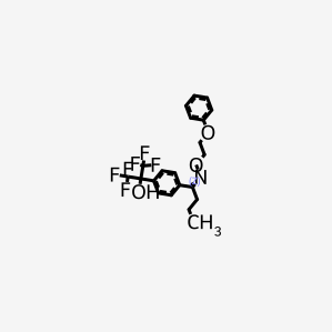 CCC/C(=N/OCCOc1ccccc1)c1ccc(C(O)(C(F)(F)F)C(F)(F)F)cc1